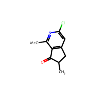 COc1nc(Cl)cc2c1C(=O)C(C)C2